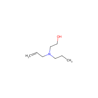 C=CCN(CCC)CCO